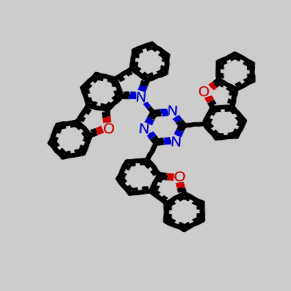 c1ccc2c(c1)oc1c(-c3nc(-c4cccc5c4oc4ccccc45)nc(-n4c5ccccc5c5ccc6c7ccccc7oc6c54)n3)cccc12